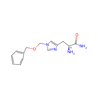 NC(=O)[C@@H](N)Cc1cn(COCc2ccccc2)cn1